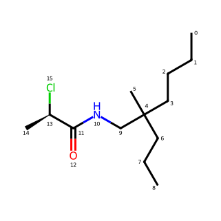 CCCCC(C)(CCC)CNC(=O)[C@@H](C)Cl